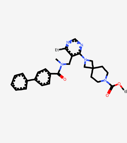 CCc1ncnc(N2CC3(CCN(C(=O)OC(C)(C)C)CC3)C2)c1CN(C)C(=O)c1ccc(-c2ccccc2)cc1